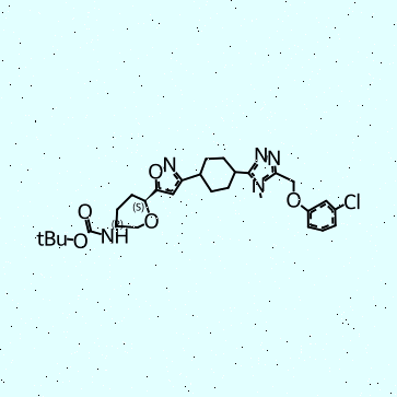 Cn1c(COc2cccc(Cl)c2)nnc1C1CCC(c2cc([C@@H]3CC[C@@H](NC(=O)OC(C)(C)C)CO3)on2)CC1